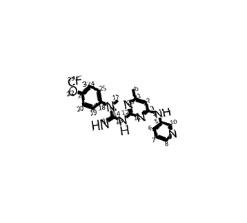 Cc1cc(Nc2cccnc2)nc(NC(=N)N(C)c2ccc(OC(F)(F)F)cc2)n1